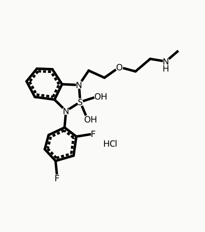 CNCCOCCN1c2ccccc2N(c2ccc(F)cc2F)S1(O)O.Cl